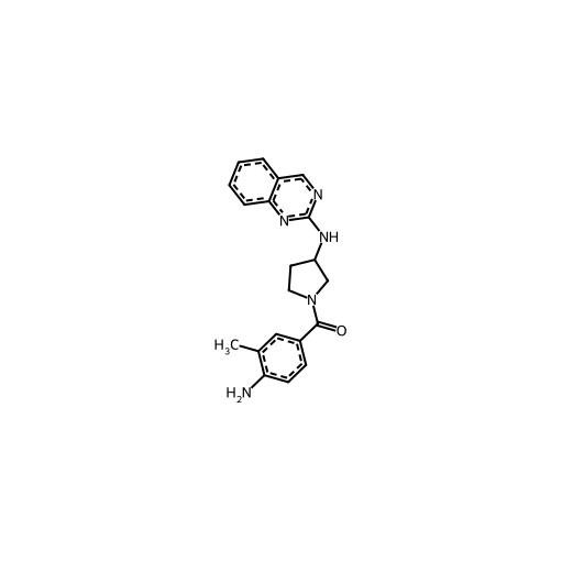 Cc1cc(C(=O)N2CCC(Nc3ncc4ccccc4n3)C2)ccc1N